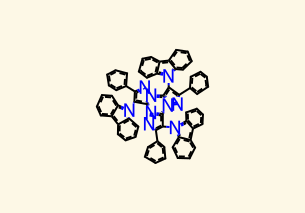 c1ccc(-c2nn3c(c2-n2c4ccccc4c4ccccc42)n2nc(-c4ccccc4)c(-n4c5ccccc5c5ccccc54)c2n2nc(-c4ccccc4)c(-n4c5ccccc5c5ccccc54)c32)cc1